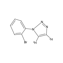 [2H]c1nnn(-c2ccccc2Br)c1[2H]